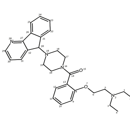 CCN(CC)CCOc1ccccc1C(=O)N1CCN(C2c3ccccc3-c3ncccc32)CC1